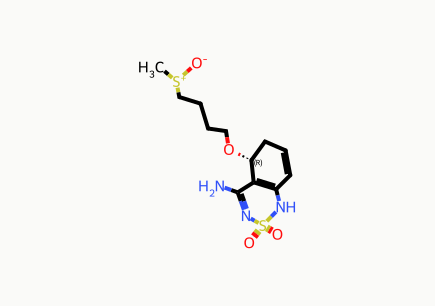 C[S+]([O-])CCCCO[C@@H]1CC=CC2=C1C(N)=NS(=O)(=O)N2